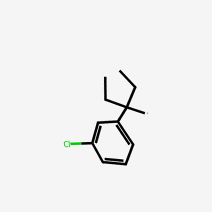 [CH2]C(CC)(CC)c1cccc(Cl)c1